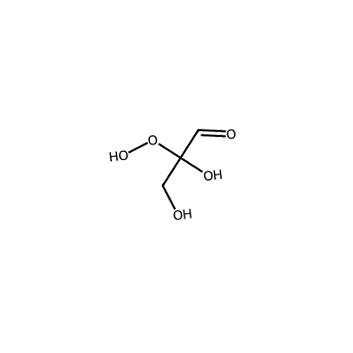 O=CC(O)(CO)OO